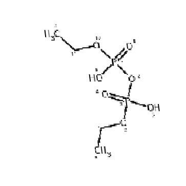 CCOP(=O)(O)OP(=O)(O)OCC